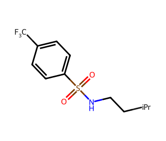 CC(C)CCNS(=O)(=O)c1ccc(C(F)(F)F)cc1